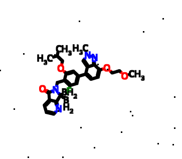 BC1(B)c2ncccc2C(=O)N1Cc1c(F)cc(-c2ccc(OCCOC)c3nn(C)cc23)cc1OCC(C)C